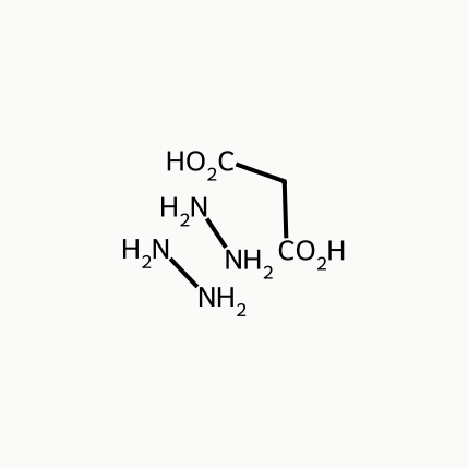 NN.NN.O=C(O)CC(=O)O